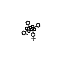 CC(C)(C)c1ccc(C(=O)OC(=O)c2ccccc2)cc1.Cc1ccccc1C(=O)OC(=O)c1ccccc1